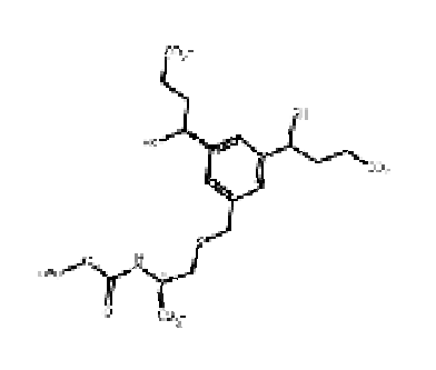 CCCCOC(=O)N[C@@H](CSCc1cc(C(S)CCC(=O)O)cc(C(S)CCC(=O)O)c1)C(=O)O